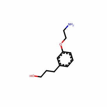 NCCOc1cccc(CCCO)c1